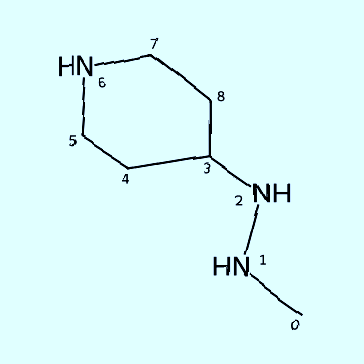 CNNC1CCNCC1